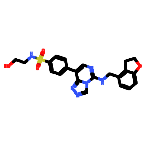 O=S(=O)(NCCO)c1ccc(-c2cnc(NCc3cccc4c3CCO4)n3cnnc23)cc1